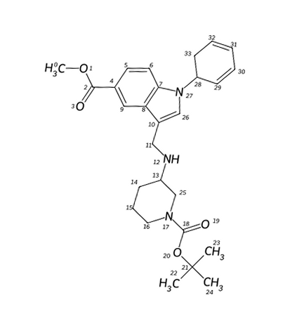 COC(=O)c1ccc2c(c1)c(CNC1CCCN(C(=O)OC(C)(C)C)C1)cn2C1C=CC=CC1